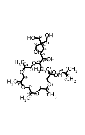 C=C(C)C(=O)O.CC(O)COC(C)COC(C)COC(C)COC(C)COC(C)C(O)CCC(CO)(CO)CO